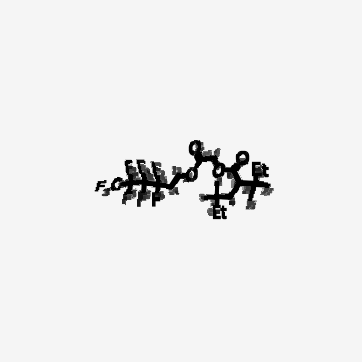 CCC(C)(C)CC(C(=O)OCC(=O)OCCC(F)(F)C(F)(F)C(F)(F)C(F)(F)F)C(C)(C)CC